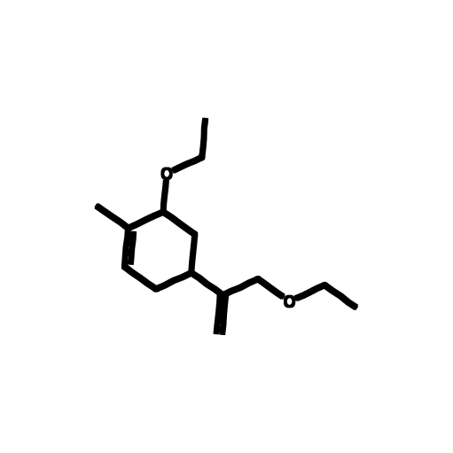 C=C(COCC)C1CC=C(C)C(OCC)C1